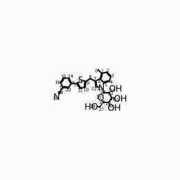 Cc1cccc2c1c(Cc1ccc(-c3cccc(C#N)c3)s1)cn2[C@@H]1O[C@H](CO)[C@@H](O)[C@H](O)[C@H]1O